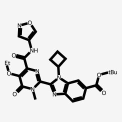 CCOc1c(C(=O)Nc2cnoc2)nc(-c2nc3ccc(C(=O)OC(C)(C)C)cc3n2C2CCC2)n(C)c1=O